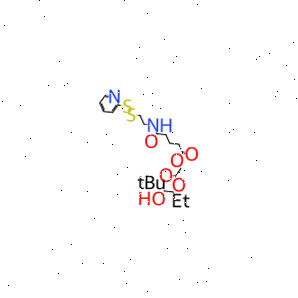 CCC(CO)OC(COC(=O)CCCC(=O)NCCSSc1ccccn1)OC(C)(C)C